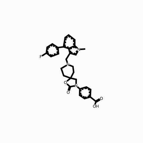 Cn1cc(CN2CCC3(CC2)CN(c2ccc(C(=O)O)cc2)C(=O)O3)c2c(-c3ccc(F)cc3)cccc21